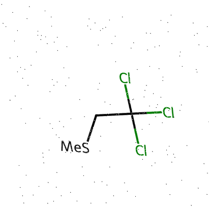 [CH2]SCC(Cl)(Cl)Cl